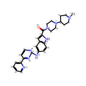 CCN1CCC(N2CCN(C(=O)c3cc4cc(Nc5nccc(-c6ccccn6)n5)ccc4[nH]3)CC2)CC1